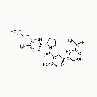 CC(C)[C@H](N)C(=O)N[C@@H](CO)C(=O)N[C@H](C(=O)N1CCC[C@H]1C(=O)N[C@@H](CCC(=O)O)C(N)=O)[C@@H](C)O